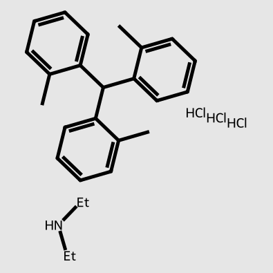 CCNCC.Cc1ccccc1C(c1ccccc1C)c1ccccc1C.Cl.Cl.Cl